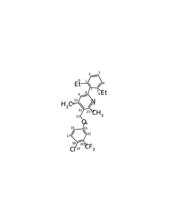 CCc1cccc(CC)c1-c1cc(C)c(COc2ccc(Cl)c(C(F)(F)F)c2)c(C)n1